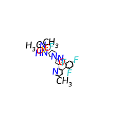 Cc1cnc([C@@H]2CC(N3CC(NS(=O)(=O)N(C)C)[C@H](F)C3)=NO2)c(-c2c(F)cc(F)cc2F)c1